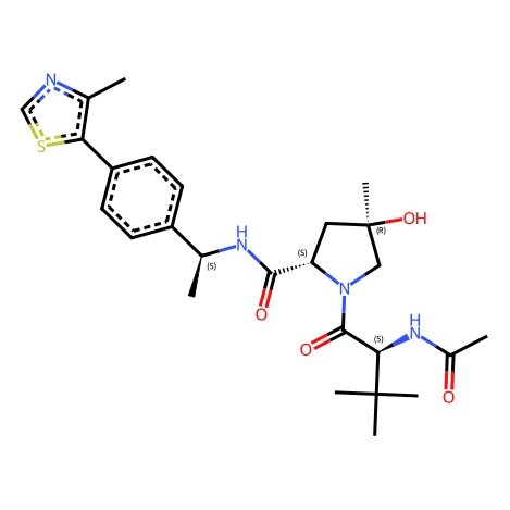 CC(=O)N[C@H](C(=O)N1C[C@](C)(O)C[C@H]1C(=O)N[C@@H](C)c1ccc(-c2scnc2C)cc1)C(C)(C)C